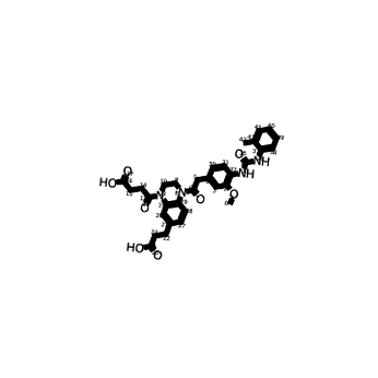 COc1cc(CC(=O)N2CCN(C(=O)CCC(=O)O)c3cc(CCC(=O)O)ccc32)ccc1NC(=O)Nc1ccccc1C